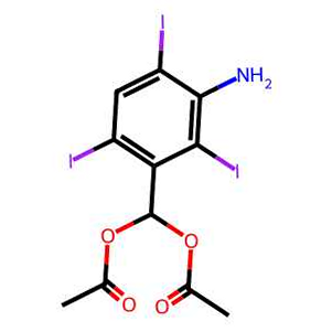 CC(=O)OC(OC(C)=O)c1c(I)cc(I)c(N)c1I